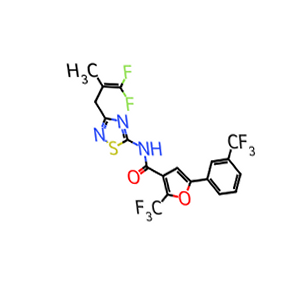 CC(Cc1nsc(NC(=O)c2cc(-c3cccc(C(F)(F)F)c3)oc2C(F)(F)F)n1)=C(F)F